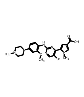 COc1cc(N2CCN(C)CC2)ccc1Nc1ncc(Br)c(-c2cc(C(=O)O)cn2C)n1